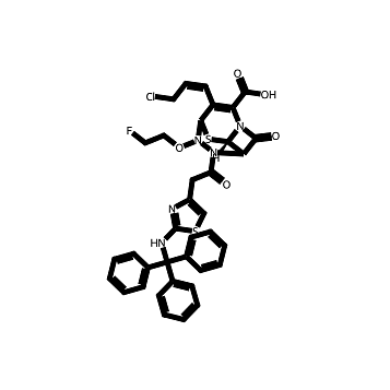 O=C(O)C1=C(/C=C\CCl)C2S[C@H]3C(C(=O)N13)N(C(=O)Cc1csc(NC(c3ccccc3)(c3ccccc3)c3ccccc3)n1)N2OCCF